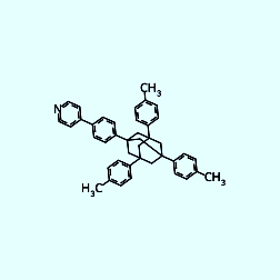 Cc1ccc(C23CC4(c5ccc(C)cc5)CC(c5ccc(C)cc5)(C2)CC(c2ccc(-c5ccncc5)cc2)(C3)C4)cc1